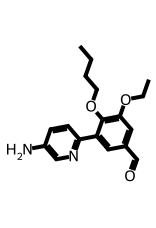 CCCCOc1c(OCC)cc(C=O)cc1-c1ccc(N)cn1